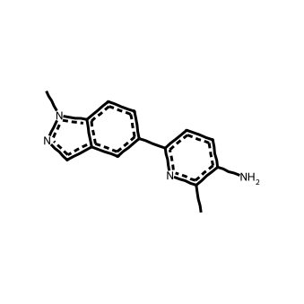 Cc1nc(-c2ccc3c(cnn3C)c2)ccc1N